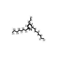 [CH2]CCc1cc(CCCCCCC)nc(CCCCCCC)c1